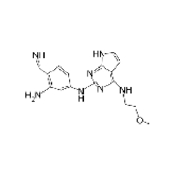 COCCNc1nc(Nc2ccc(C=N)c(N)c2)nc2[nH]ccc12